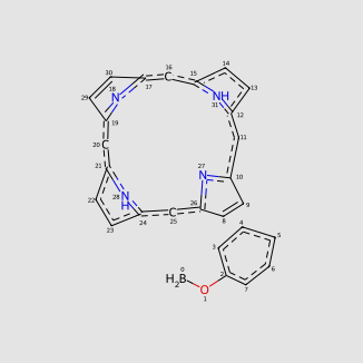 BOc1ccccc1.C1=Cc2cc3ccc(cc4nc(cc5ccc(cc1n2)[nH]5)C=C4)[nH]3